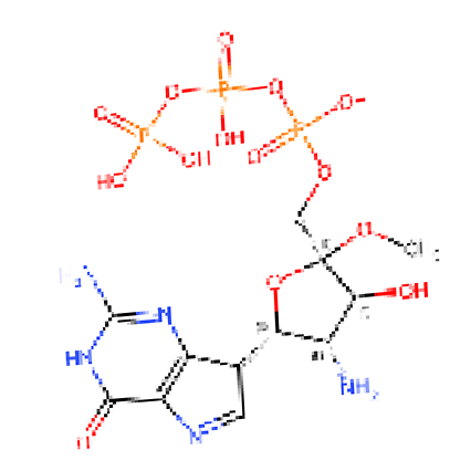 CO[C@]1(COP(=O)(O)OP(=O)(O)OP(=O)(O)O)O[C@@H](C2C=Nc3c2nc(N)[nH]c3=O)[C@@H](N)[C@@H]1O